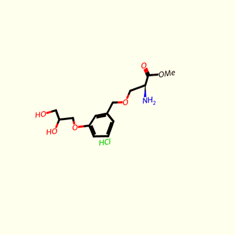 COC(=O)[C@@H](N)COCc1cccc(OCC(O)CO)c1.Cl